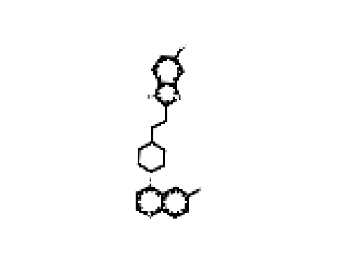 Fc1ccc2nccc([C@H]3CC[C@H](CCc4nc5cc(Cl)ccc5[nH]4)CC3)c2c1